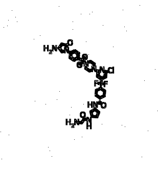 NCC(=O)N[C@H]1CC[C@@H](NC(=O)[C@H]2CC[C@H](C(F)(F)c3cc(Cl)nc(N4CCN(S(=O)(=O)c5ccc(N6C[C@H](N)CC6=O)cc5)CC4)c3)CC2)C1